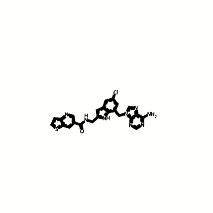 Nc1ncnc2c1ncn2Cc1cc(Cl)cc2cc(CNC(=O)c3cnc4ccsc4c3)[nH]c12